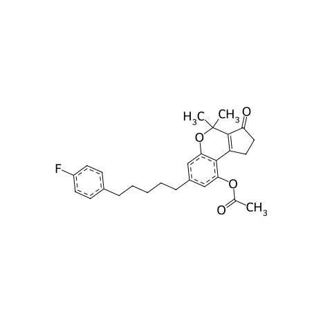 CC(=O)Oc1cc(CCCCCc2ccc(F)cc2)cc2c1C1=C(C(=O)CC1)C(C)(C)O2